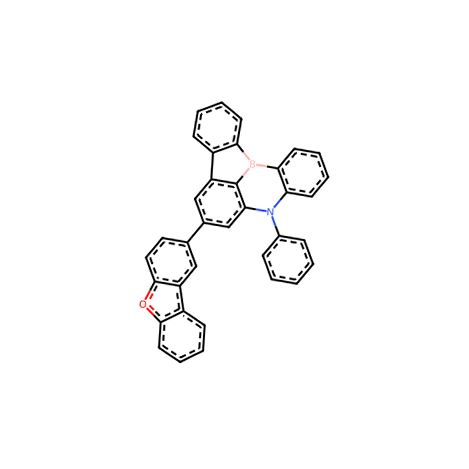 c1ccc(N2c3ccccc3B3c4ccccc4-c4cc(-c5ccc6oc7ccccc7c6c5)cc2c43)cc1